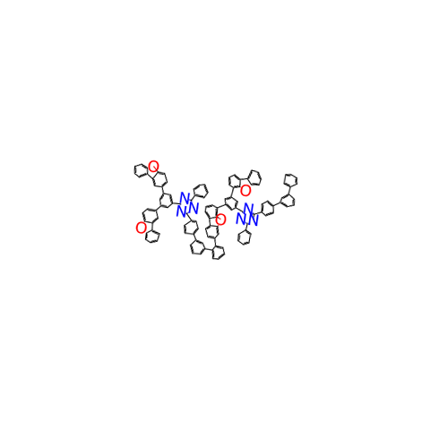 c1ccc(-c2cccc(-c3ccc(-c4nc(-c5ccccc5)nc(-c5cc(-c6cccc7c6oc6ccccc67)cc(-c6cccc7c6oc6cc(-c8ccccc8-c8cccc(-c9ccc(-c%10nc(-c%11ccccc%11)nc(-c%11cc(-c%12ccc%13oc%14ccccc%14c%13c%12)cc(-c%12ccc%13oc%14ccccc%14c%13c%12)c%11)n%10)cc9)c8)ccc67)c5)n4)cc3)c2)cc1